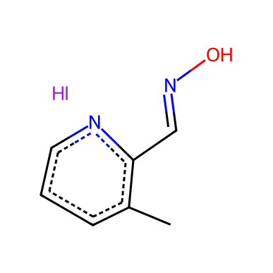 Cc1cccnc1C=NO.I